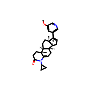 COc1cncc(C2=CC[C@H]3[C@@H]4CC=C5N(C6CC6)C(=O)CC[C@]5(C)[C@H]4CC[C@]23C)c1